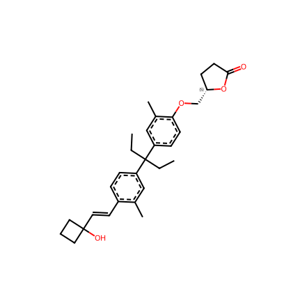 CCC(CC)(c1ccc(C=CC2(O)CCC2)c(C)c1)c1ccc(OC[C@@H]2CCC(=O)O2)c(C)c1